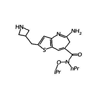 CCCN(OC(C)C)C(=O)C1=Cc2sc(CC3CNC3)cc2N=C(N)C1